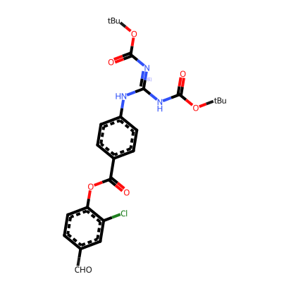 CC(C)(C)OC(=O)/N=C(/NC(=O)OC(C)(C)C)Nc1ccc(C(=O)Oc2ccc(C=O)cc2Cl)cc1